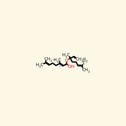 C=CC(C)(CCC=C(C)C)OC(O)/C=C(\C)CCC=C(C)C